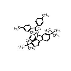 Cc1ccc([C](c2ccc(C)cc2)=[Zr]([Cl])([Cl])([CH]2C=CC=C2)[CH]2c3cc(C(C)(C)C)ccc3-c3ccc(C(C)(C)C)cc32)cc1